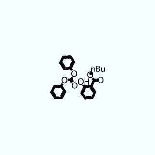 CCCCOC(=O)c1ccccc1O.O=C(Oc1ccccc1)Oc1ccccc1